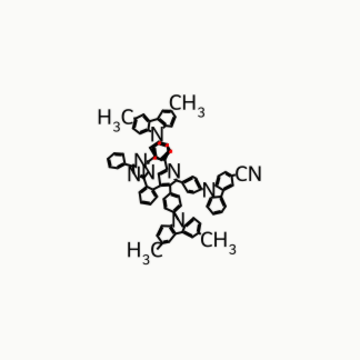 Cc1ccc2c(c1)c1cc(C)ccc1n2-c1ccc(-c2cc(-c3ccccc3-c3nc(-c4ccccc4)nc(-c4ccccc4)n3)c(-c3ccc(-n4c5ccc(C)cc5c5cc(C)ccc54)cc3)c(-c3ccc(-n4c5ccccc5c5cc(C#N)ccc54)cc3)n2)cc1